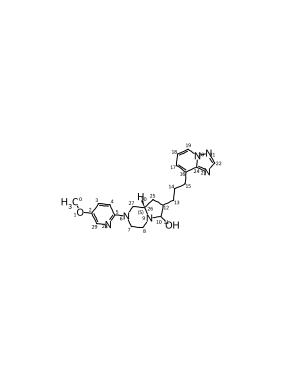 COc1ccc(N2CCN3C(O)C(CCCc4cccn5ncnc45)C[C@H]3C2)nc1